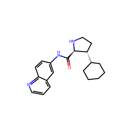 O=C(Nc1ccc2ncccc2c1)[C@H]1NCC[C@@H]1C1CCCCC1